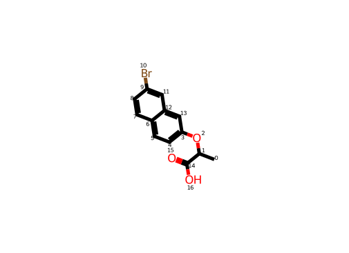 CC(Oc1ccc2ccc(Br)cc2c1)C(=O)O